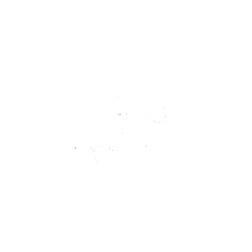 CCCCOC(=O)C(OC(=O)C[n+]1ccn(CCCC)c1)c1ccc2c(c1)OCO2.[Br-]